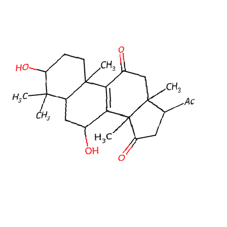 CC(=O)C1CC(=O)C2(C)C3=C(C(=O)CC12C)C1(C)CCC(O)C(C)(C)C1CC3O